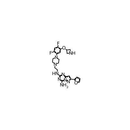 Nc1nc(NCCN2CCN(c3cc(OC4CNC4)c(F)cc3F)CC2)nc2cc(-c3ccco3)nn12